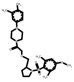 COc1cc(C)c(S(=O)(=O)N2CCCC2COCC(=O)N2CCN(c3ccc(C)c(C)c3)CC2)c(C)c1